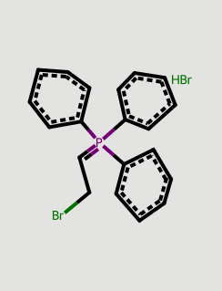 Br.BrCC=P(c1ccccc1)(c1ccccc1)c1ccccc1